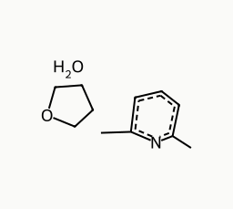 C1CCOC1.Cc1cccc(C)n1.O